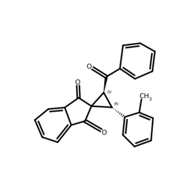 Cc1ccccc1[C@H]1[C@H](C(=O)c2ccccc2)C12C(=O)c1ccccc1C2=O